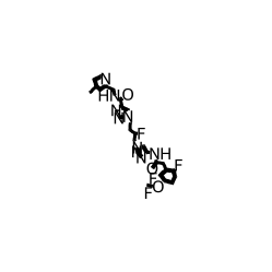 Cc1ccnc(CNC(=O)c2cn(CCC(F)Cn3cc(NC(=O)Cc4cc(OC(C)(F)F)ccc4F)nn3)nn2)c1